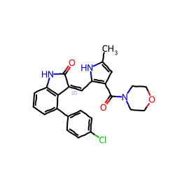 Cc1cc(C(=O)N2CCOCC2)c(/C=C2\C(=O)Nc3cccc(-c4ccc(Cl)cc4)c32)[nH]1